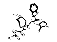 CC(C)[C@H](NS(C)(=O)=O)C(=O)N1CC[C@@H](C)C[C@H]1C(=O)N[C@@H](C[C@@H]1CCNC1=O)C(=O)c1nc2ccccc2s1